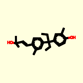 CCC(CC)(c1ccc(O)c(C)c1)c1ccc(C=CC(C)(C)O)c(C)c1